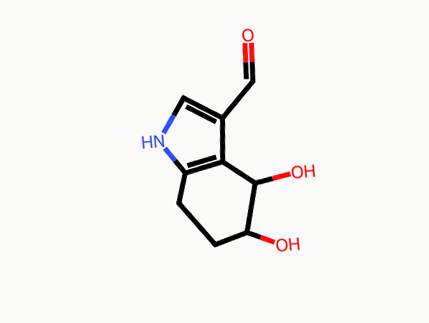 O=Cc1c[nH]c2c1C(O)C(O)CC2